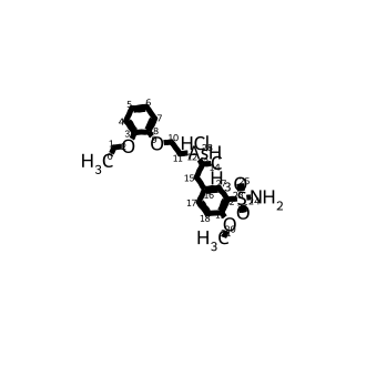 CCOc1ccccc1OCC[AsH]C(C)Cc1ccc(OC)c(S(N)(=O)=O)c1.Cl